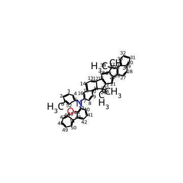 Cc1cccc(N(c2ccc3c4c(ccc3c2)-c2cc3c(cc2C4(C)C)-c2ccc4ccccc4c2C3(C)C)c2cccc3c2oc2ccccc23)c1